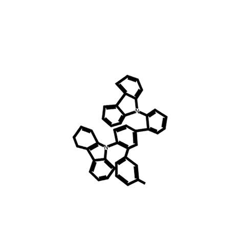 Cc1cccc(-c2cc(-c3ccccc3-n3c4ccccc4c4ccccc43)ccc2-n2c3c(c4ccccc42)CCC=C3)c1